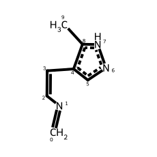 C=N/C=C\c1cn[nH]c1C